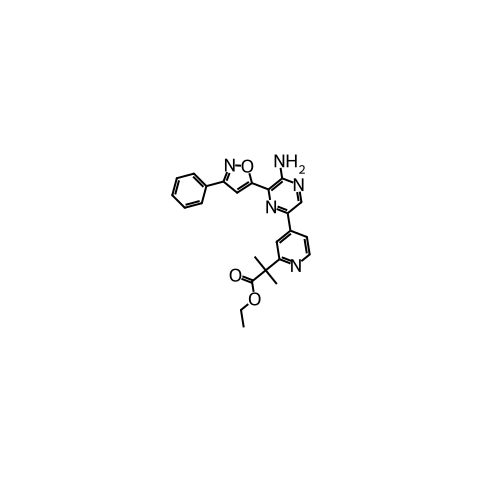 CCOC(=O)C(C)(C)c1cc(-c2cnc(N)c(-c3cc(-c4ccccc4)no3)n2)ccn1